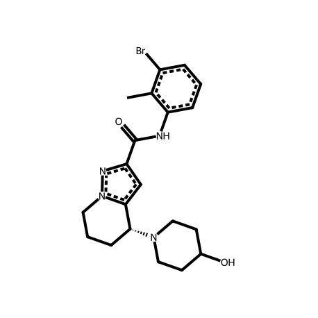 Cc1c(Br)cccc1NC(=O)c1cc2n(n1)CCC[C@H]2N1CCC(O)CC1